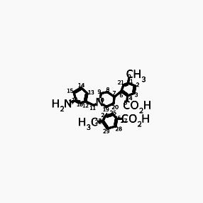 Cc1ccc(C(=O)O)c(C2CCN(Cc3cccc(N)c3)CC2)c1.Cc1ccc(C(=O)O)cc1